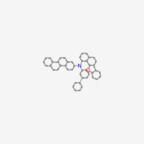 c1ccc(-c2cccc(N(c3ccc4c(ccc5c6ccccc6ccc45)c3)c3cccc4ccc5c6ccccc6oc5c34)c2)cc1